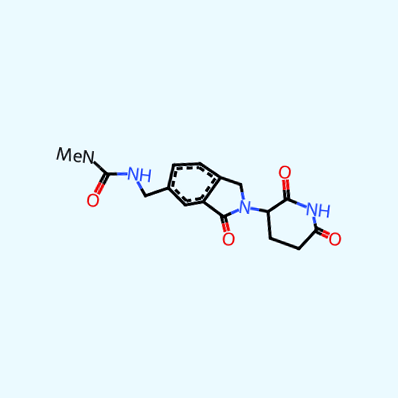 CNC(=O)NCc1ccc2c(c1)C(=O)N(C1CCC(=O)NC1=O)C2